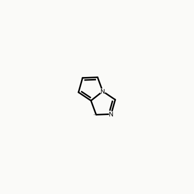 [CH]1N=Cn2cccc21